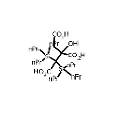 CCC[Si](CCC)(CCC)C(C(=O)O)(C(O)(CC(=O)O)C(=O)O)[Si](CCC)(CCC)CCC